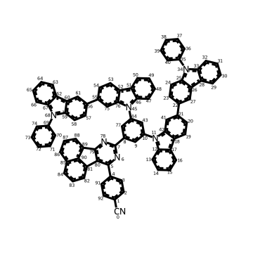 N#Cc1ccc(-c2nc(-c3cc(-n4c5ccccc5c5ccc(-c6ccc7c(c6)c6ccccc6n7-c6ccccc6)cc54)cc(-n4c5ccccc5c5ccc(-c6ccc7c(c6)c6ccccc6n7-c6ccccc6)cc54)c3)nc3c2-c2cccc4cccc-3c24)cc1